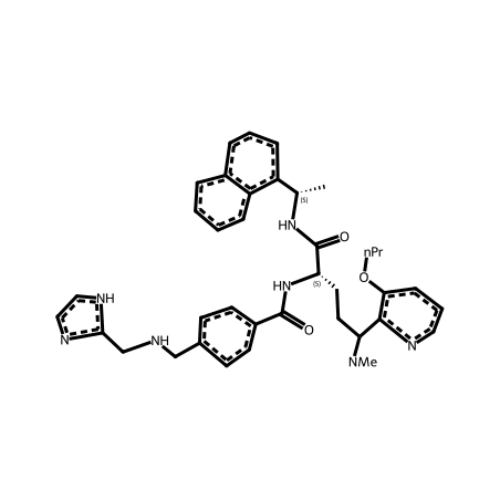 CCCOc1cccnc1C(CC[C@H](NC(=O)c1ccc(CNCc2ncc[nH]2)cc1)C(=O)N[C@@H](C)c1cccc2ccccc12)NC